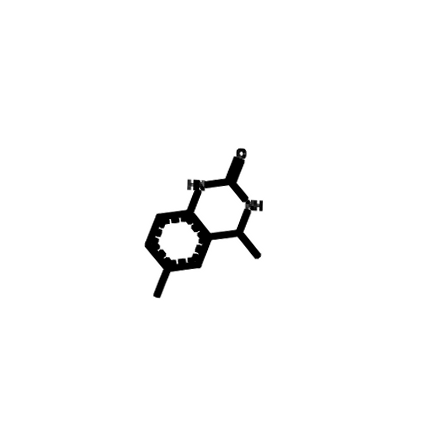 Cc1ccc2c(c1)C(C)NC(=O)N2